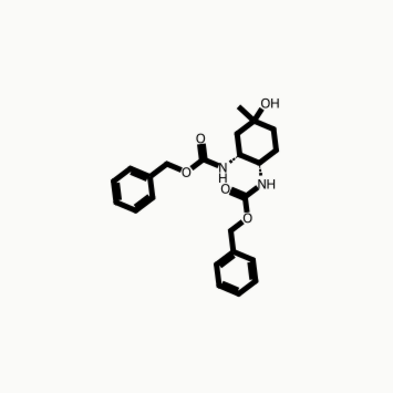 CC1(O)CC[C@H](NC(=O)OCc2ccccc2)[C@H](NC(=O)OCc2ccccc2)C1